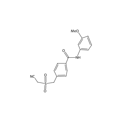 COc1cccc(NC(=O)c2ccc(CS(=O)(=O)CC#N)cc2)c1